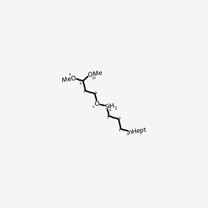 CCCCCCCCCC[SiH2]OCCC(OC)OC